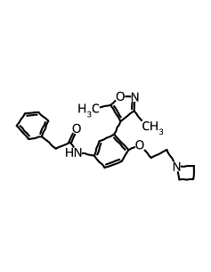 Cc1noc(C)c1-c1cc(NC(=O)Cc2ccccc2)ccc1OCCN1CCC1